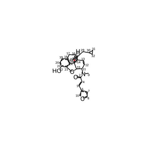 CN(C(=O)/C=C/c1ccoc1)C1C=C[C@@]2(O)[C@H]3Cc4ccc(O)c5c4[C@@]2(CCN3CC2CC2)C1O5